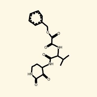 CC(C)C(NC(=O)C(=O)OCc1ccccc1)C(=O)NC1CCNC(=O)C1=O